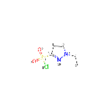 CCn1ccc(S(=O)(=O)Cl)n1